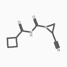 N#CC1CN1C(=O)NC(=O)C1CCC1